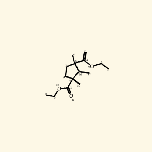 C=C(OCC)C1(C)CCC(C)(C(=O)OCC)C1C